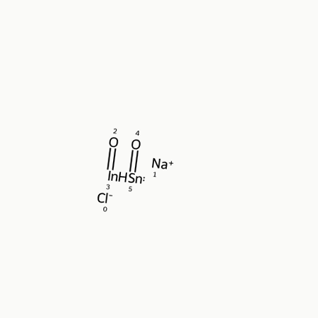 [Cl-].[Na+].[O]=[InH].[O]=[Sn]